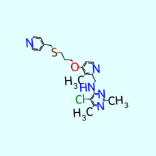 Cc1nc(C)c(Cl)c(NCc2nccc(OCCCSCc3ccncc3)c2C)n1